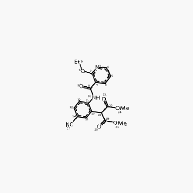 CCOc1ncccc1C(=O)Nc1ccc(C#N)cc1C(C(=O)OC)C(=O)OC